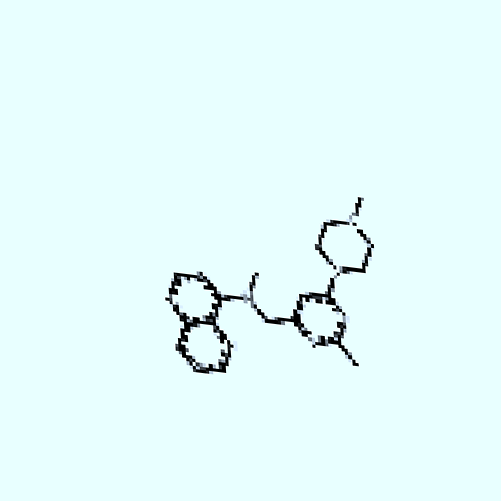 Cc1nc(CN(C)c2ccnc3cccnc23)cc(N2CCN(C)CC2)n1